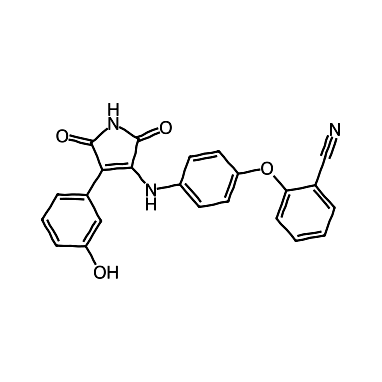 N#Cc1ccccc1Oc1ccc(NC2=C(c3cccc(O)c3)C(=O)NC2=O)cc1